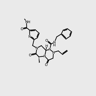 C=CCN1CC(=O)N2[C@@H](C)C(=O)N(Cc3cccc(C(=O)NC)n3)C[C@@H]2N1C(=O)NCc1ccccc1